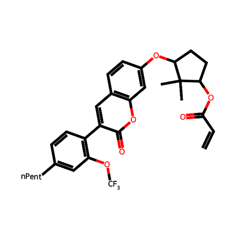 C=CC(=O)OC1CCC(Oc2ccc3cc(-c4ccc(CCCCC)cc4OC(F)(F)F)c(=O)oc3c2)C1(C)C